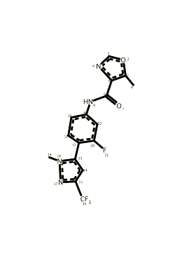 Cc1ocnc1C(=O)Nc1ccc(-c2cc(C(F)(F)F)nn2C)c(F)c1